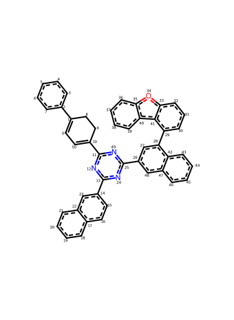 C1=C(c2ccccc2)CCC(c2nc(-c3ccc4ccccc4c3)nc(-c3cc(-c4cccc5oc6ccccc6c45)c4ccccc4c3)n2)=C1